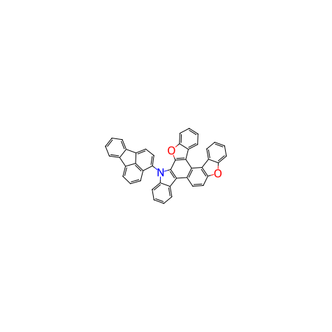 c1ccc2c(c1)-c1cccc3c(-n4c5ccccc5c5c6ccc7oc8ccccc8c7c6c6c7ccccc7oc6c54)ccc-2c13